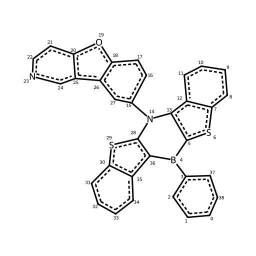 c1ccc(B2c3sc4ccccc4c3N(c3ccc4oc5ccncc5c4c3)c3sc4ccccc4c32)cc1